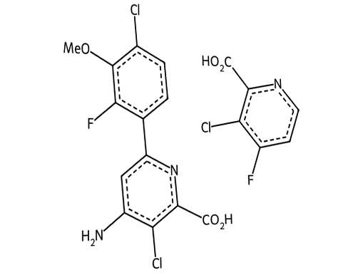 COc1c(Cl)ccc(-c2cc(N)c(Cl)c(C(=O)O)n2)c1F.O=C(O)c1nccc(F)c1Cl